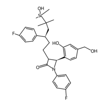 CC(C)(C[C@@H](CCC1C(=O)N(c2ccc(F)cc2)[C@@H]1c1ccc(CO)cc1O)c1ccc(F)cc1)[Si](C)(C)O